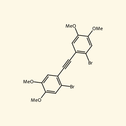 COc1cc(Br)c(C#Cc2cc(OC)c(OC)cc2Br)cc1OC